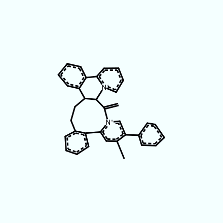 C=C1C2C(CCc3ccccc3-c3cc(C)c(-c4ccccc4)c[n+]31)c1ccccc1-c1cccc[n+]12